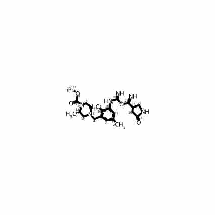 Cc1cc(CN2CCN(C(=O)OC(C)C)[C@@H](C)C2)c(C)c(NC(=N)OC(=N)C2CNC(=O)C2)c1